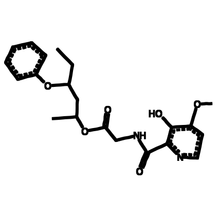 CCC(CC(C)OC(=O)CNC(=O)c1nccc(OC)c1O)Oc1ccccc1